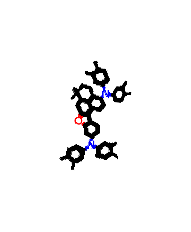 Cc1ccc(N(c2ccc(C)c(C)c2)c2ccc3c(c2)oc2cc4c5c(c(N(c6ccc(C)c(C)c6)c6ccc(C)c(C)c6)ccc5c23)CCC4(C)C)cc1C